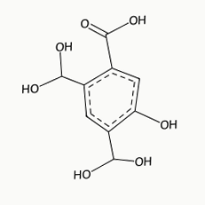 O=C(O)c1cc(O)c(C(O)O)cc1C(O)O